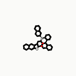 c1ccc(N(c2ccc3ccccc3c2)c2ccc3oc4cc5ccccc5cc4c3c2)c(-c2cccc3ccccc23)c1